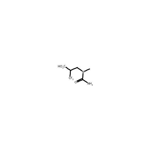 CN(CC(C(=O)O)C(F)(F)F)C(N)=O